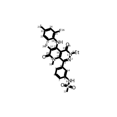 CCn1nc(-c2cccc(NS(C)(=O)=O)c2)c2c(c(Nc3ccc(I)cc3F)c(F)c(=O)n2C)c1=O